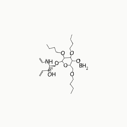 BOC1C(COCCCC)OC(OC[C@H](NC=C)[C@H](O)C=C)C(OCCCC)C1OCCCC